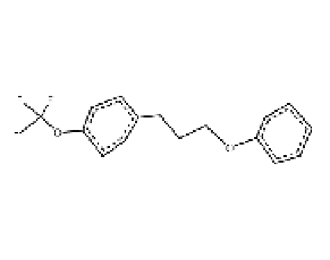 FC(F)(F)Oc1ccc(CCCOc2cc[c]cc2)cc1